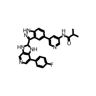 CC(C)C(=O)Nc1cncc(-c2ccc3[nH]nc(C4Nc5cncc(-c6ccc(F)cc6)c5N4)c3c2)c1